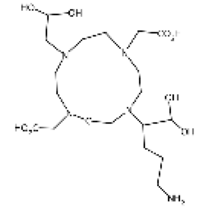 NCCCC(C(O)O)N1CCN(CC(=O)O)CCN(CC(O)O)CCN(CC(=O)O)CC1